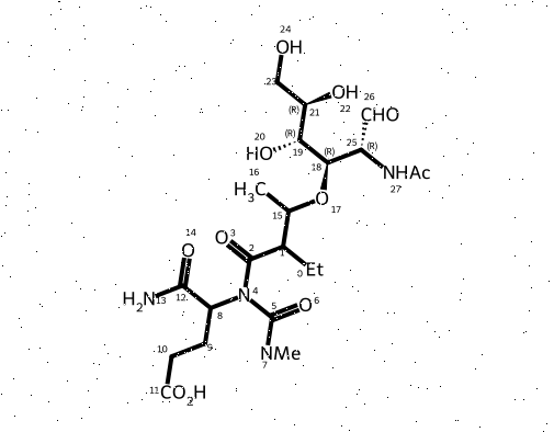 CCC(C(=O)N(C(=O)NC)C(CCC(=O)O)C(N)=O)C(C)O[C@@H]([C@H](O)[C@H](O)CO)[C@H](C=O)NC(C)=O